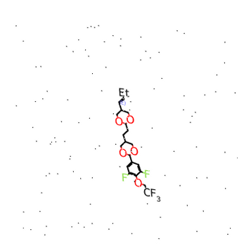 CC/C=C/C1COC(CCC2COC(c3cc(F)c(OCC(F)(F)F)c(F)c3)OC2)OC1